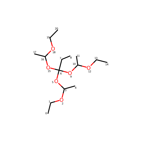 CCOC(C)OC(CC)(OC(C)OCC)OC(C)OCC